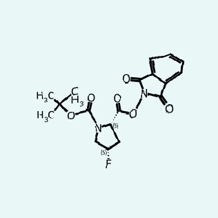 CC(C)(C)OC(=O)N1C[C@@H](F)C[C@H]1C(=O)ON1C(=O)c2ccccc2C1=O